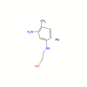 Cc1ccc(NCCO)cc1N.[Pb]